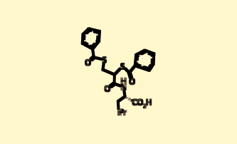 CC(C)C[C@H](NC(=O)C(CSC(=O)c1ccccc1)SC(=O)c1ccccc1)C(=O)O